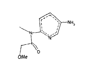 COCC(=O)N(C)c1ccc(N)cn1